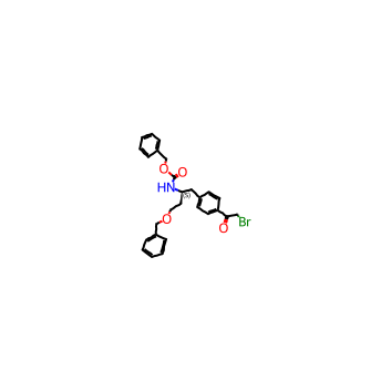 O=C(N[C@H](CCOCc1ccccc1)Cc1ccc(C(=O)CBr)cc1)OCc1ccccc1